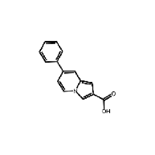 O=C(O)c1cc2cc(-c3ccccc3)ccn2c1